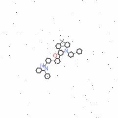 CC1(C)c2ccccc2-c2c(N(c3cccc(-c4ccccc4)c3)c3ccc4oc5c(-c6cccc(-c7nc(-c8ccccc8)c8ccccc8n7)c6)cccc5c4c3)cccc21